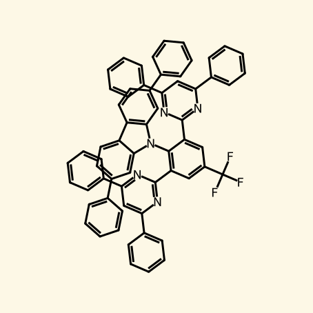 FC(F)(F)c1cc(-c2nc(-c3ccccc3)cc(-c3ccccc3)n2)c(-n2c3cc(-c4ccccc4)ccc3c3ccc(-c4ccccc4)cc32)c(-c2nc(-c3ccccc3)cc(-c3ccccc3)n2)c1